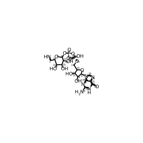 N=CC1OC(OP(=O)(O)OP(=O)(O)OCC2OC(n3cnc4c(=O)[nH]c(N)nc43)C(O)C2O)C(O)C(O)C1O